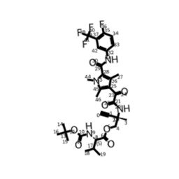 C#C[C@@](C)(COC(=O)[C@@H](NC(=O)OC(C)(C)C)C(C)C)NC(=O)C(=O)c1c(C)c(C(=O)Nc2ccc(F)c(C(F)(F)F)c2)n(C)c1C